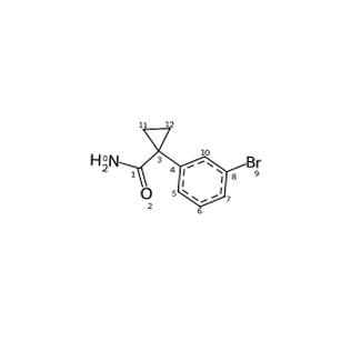 NC(=O)C1(c2cccc(Br)c2)CC1